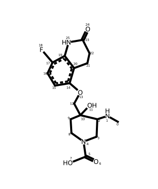 CNC1CN(C(=O)O)CCC1(O)COc1ccc(F)c2c1CCC(=O)N2